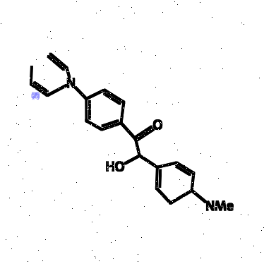 C=CN(/C=C\C)c1ccc(C(=O)C(O)C2=CCC(NC)C=C2)cc1